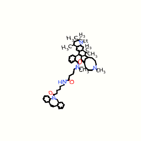 CCN1c2cc3c(cc2C(C)CC1(C)C)C(c1ccccc1C(=O)N(C)CCCC(=O)NCCCCCC(=O)N1Cc2ccccc2C#Cc2ccccc21)=C1C=C2CCCN(C)CCCC(=C1C3(C)C)C2